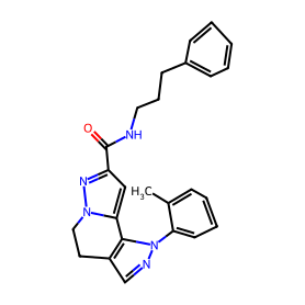 Cc1ccccc1-n1ncc2c1-c1cc(C(=O)NCCCc3ccccc3)nn1CC2